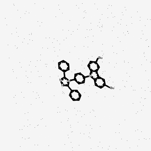 CCC(C)c1ccc2c(c1)c1cc(C(C)CC)ccc1n2-c1ccc(-n2c(-c3ccccc3)nnc2-c2ccccc2)cc1